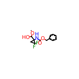 COC(O)C1(NC(=O)OCc2ccccc2)CC1(F)F